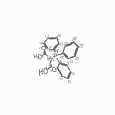 O=[C](O)[Rh]([C](=O)O)[PH](c1ccccc1)(c1ccccc1)c1ccccc1